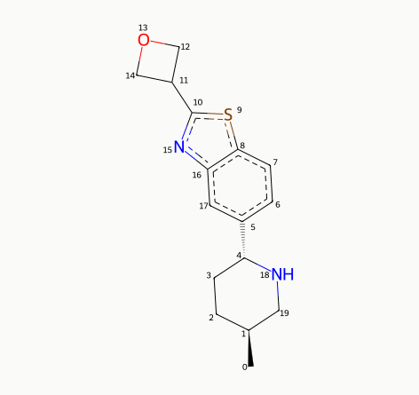 C[C@H]1CC[C@H](c2ccc3sc(C4COC4)nc3c2)NC1